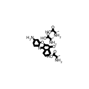 C[C@H](N)C(=O)O.C[C@H](N)C(=O)O.C[C@H](N)C(=O)O.Nc1ccc2nc3c4ccccc4c(=O)cc-3oc2c1